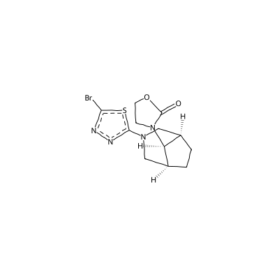 O=C1OCCN1[C@H]1[C@@H]2CC[C@H]1CN(c1nnc(Br)s1)C2